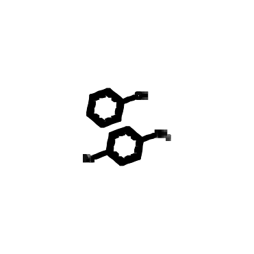 Nc1cc[c]([Na])cc1.Oc1ccccc1